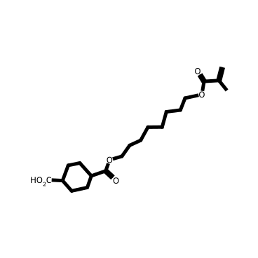 C=C(C)C(=O)OCCCCCCCCOC(=O)C1CCC(C(=O)O)CC1